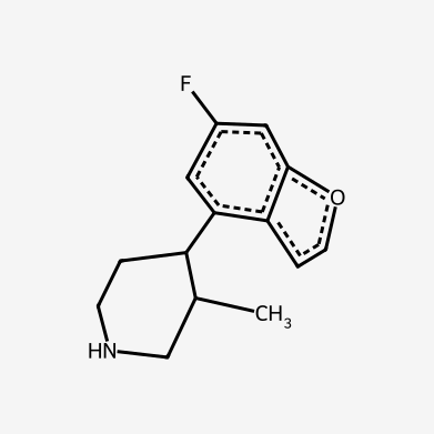 CC1CNCCC1c1cc(F)cc2occc12